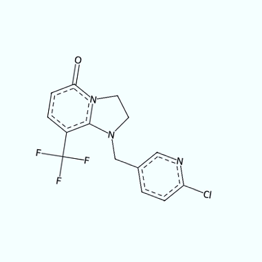 O=c1ccc(C(F)(F)F)c2n1CCN2Cc1ccc(Cl)nc1